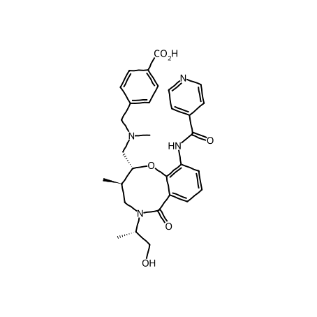 C[C@@H]1CN([C@@H](C)CO)C(=O)c2cccc(NC(=O)c3ccncc3)c2O[C@H]1CN(C)Cc1ccc(C(=O)O)cc1